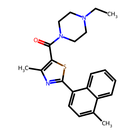 CCN1CCN(C(=O)c2sc(-c3ccc(C)c4ccccc34)nc2C)CC1